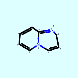 C1=CC2=NCC=CN2C=C1